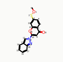 COSc1ccc2c(=O)cc(-n3cc4ccccc4n3)oc2c1